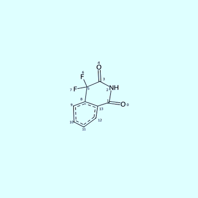 O=C1NC(=O)C(F)(F)c2ccccc21